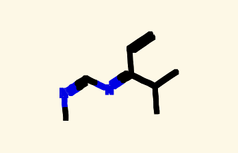 C=C/C(=N\C=N/C)C(C)C